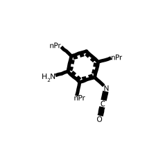 CCCc1cc(CCC)c(N=C=O)c(CCC)c1N